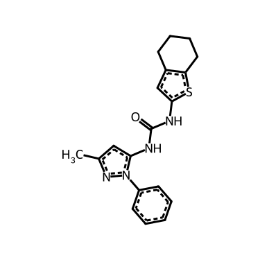 Cc1cc(NC(=O)Nc2cc3c(s2)CCCC3)n(-c2ccccc2)n1